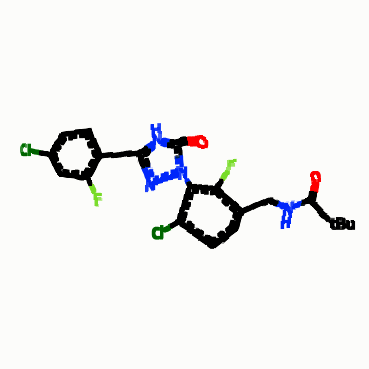 CC(C)(C)C(=O)NCc1ccc(Cl)c(-n2nc(-c3ccc(Cl)cc3F)[nH]c2=O)c1F